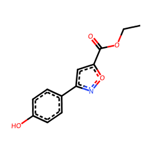 CCOC(=O)c1cc(-c2ccc(O)cc2)no1